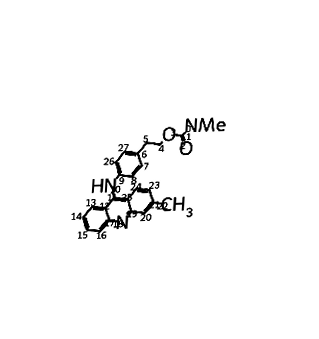 CNC(=O)OCCc1ccc(Nc2c3ccccc3nc3cc(C)ccc23)cc1